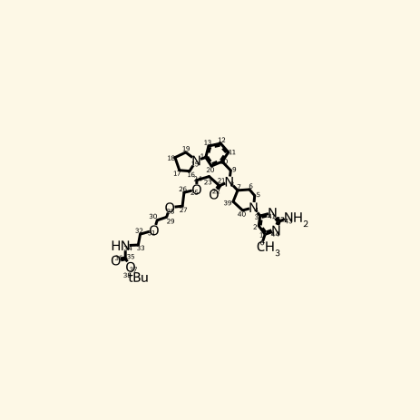 Cc1cc(N2CCC(N(Cc3cccc(N4CCCC4)c3)C(=O)CCOCCOCCOCCNC(=O)OC(C)(C)C)CC2)nc(N)n1